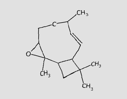 CC1/C=C/C2C(CC2(C)C)C2(C)OC2CC1